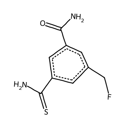 NC(=O)c1cc(CF)cc(C(N)=S)c1